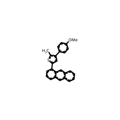 COc1ccc(-c2cc(-c3cccc4cc5ccccc5cc34)sc2C)cc1